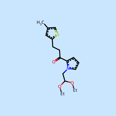 CCOC(Cn1cccc1C(=O)CCc1cc(C)cs1)OCC